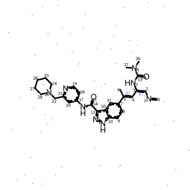 C=N/C=C(\C=C(/C)c1ccc2[nH]nc(C(=O)Nc3ccnc(CN4CCCCC4)c3)c2c1)NC(=O)N(C)C